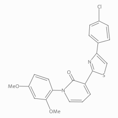 COc1ccc(-n2cccc(-c3nc(-c4ccc(Cl)cc4)cs3)c2=O)c(OC)c1